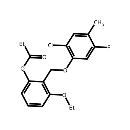 CCOc1cccc(OC(=O)CC)c1COc1cc(F)c(C)cc1Cl